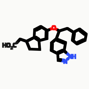 O=C(O)CC1CCc2cc(OC(Cc3ccccc3)c3ccc4cn[nH]c4c3)ccc21